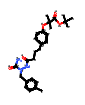 Cc1ccc(CN(NC(=O)CCCc2ccc(OC(C)(C)C(=O)OC(C)(C)C)cc2)C(N)=O)cc1